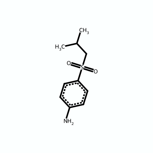 CC(C)CS(=O)(=O)c1ccc(N)cc1